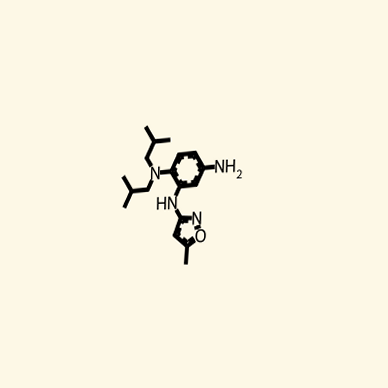 Cc1cc(Nc2cc(N)ccc2N(CC(C)C)CC(C)C)no1